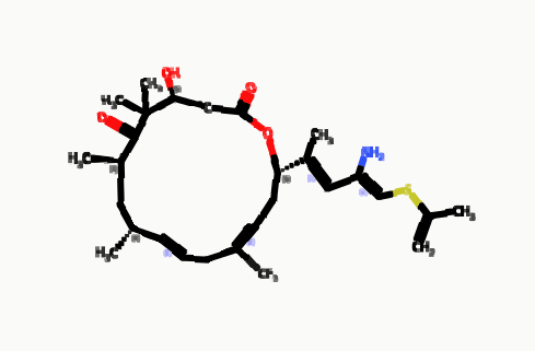 C=C(C)S/C=C(N)/C=C(\C)[C@@H]1C/C=C(/C(F)(F)F)C/C=C/[C@H](C)C[C@@H](C)C(=O)C(C)(C)[C@@H](O)CC(=O)O1